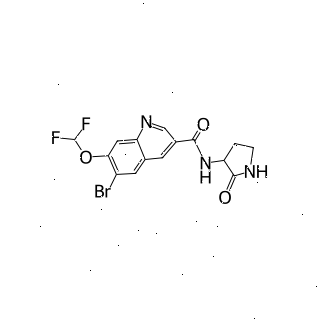 O=C(NC1CCNC1=O)c1cnc2cc(OC(F)F)c(Br)cc2c1